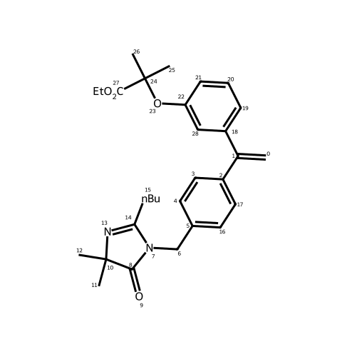 C=C(c1ccc(CN2C(=O)C(C)(C)N=C2CCCC)cc1)c1cccc(OC(C)(C)C(=O)OCC)c1